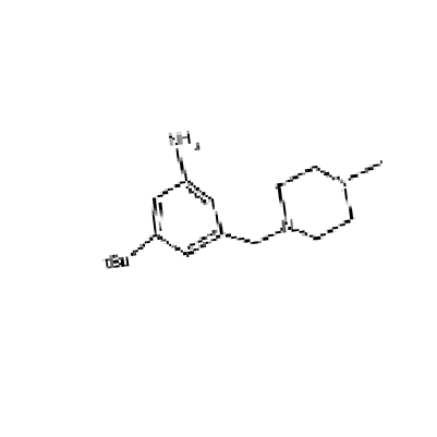 CN1CCN(Cc2cc(N)cc(C(C)(C)C)c2)CC1